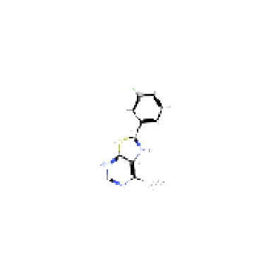 CSc1ncnc2sc(-c3cccc(F)c3)nc12